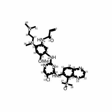 C=CC(=O)Nc1cc(Nc2ncc(Cl)c(Nc3ccc4nccnc4c3P(C)(C)=O)n2)c(OC)cc1N(C)CCN(C)C